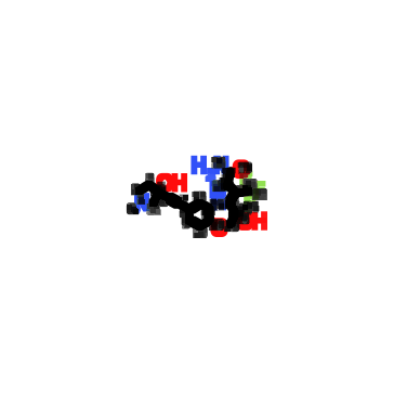 CN1CC[C@@](O)(C#Cc2ccc3c(c2)-n2nc(C(N)=O)c(C(F)(F)F)c2[C@@](C)(O)CO3)C1